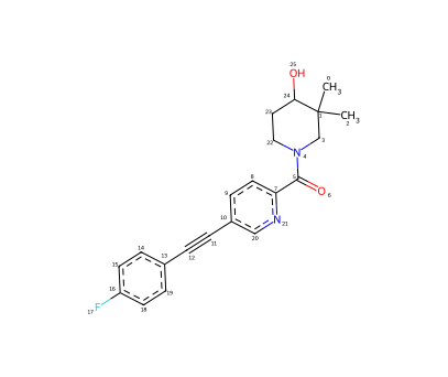 CC1(C)CN(C(=O)c2ccc(C#Cc3ccc(F)cc3)cn2)CCC1O